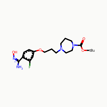 CC(C)(C)OC(=O)N1CCCN(CCCOc2ccc(/C(N)=N\O)c(F)c2)CC1